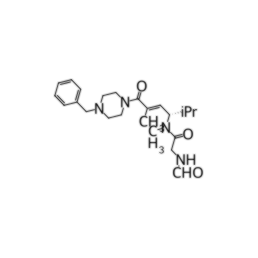 C/C(=C\[C@H](C(C)C)N(C)C(=O)CNC=O)C(=O)N1CCN(Cc2ccccc2)CC1